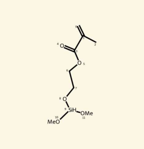 C=C(C)C(=O)OCCO[SiH](OC)OC